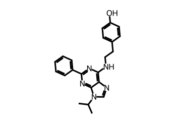 CC(C)n1cnc2c(NCCc3ccc(O)cc3)nc(-c3ccccc3)nc21